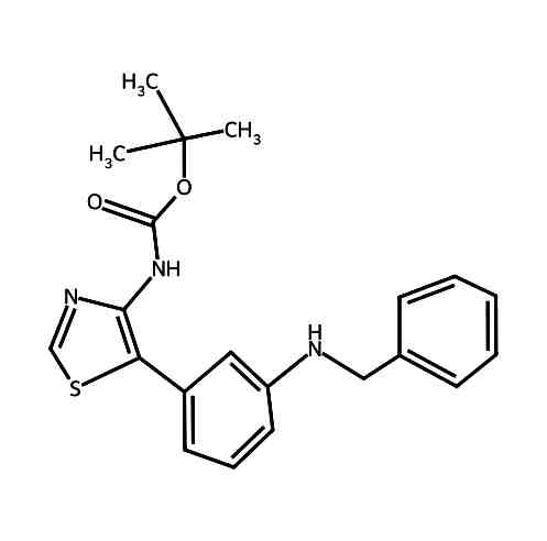 CC(C)(C)OC(=O)Nc1ncsc1-c1cccc(NCc2ccccc2)c1